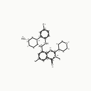 Cc1cc([C@@H](C)Nc2ccc(F)cc2N2CCC[C@H](O)C2)c2nc(C3CCOCC3)n(C)c(=O)c2c1